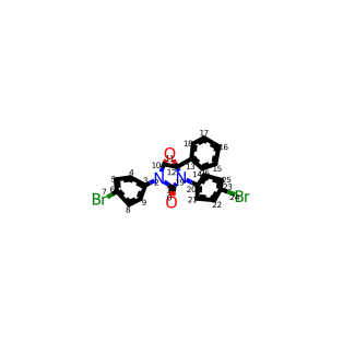 O=C1N(c2ccc(Br)cc2)C2OC2(c2ccccc2)N1c1ccc(Br)cc1